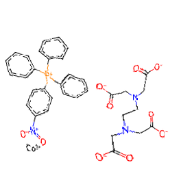 O=C([O-])CN(CCN(CC(=O)[O-])CC(=O)[O-])CC(=O)[O-].O=[N+]([O-])c1ccc([P+](c2ccccc2)(c2ccccc2)c2ccccc2)cc1.[Co+3]